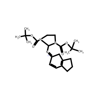 CC(C)(C)OC(=O)N1CCN(C(=O)OC(C)(C)C)C1/N=C1/C=CC2=C(CCC2)C1